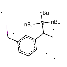 CCCC[Si](CCCC)(CCCC)C(C)c1cccc(CI)c1